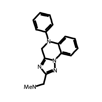 CNCc1nc2n(n1)-c1ccccc1N(c1ccccc1)C2